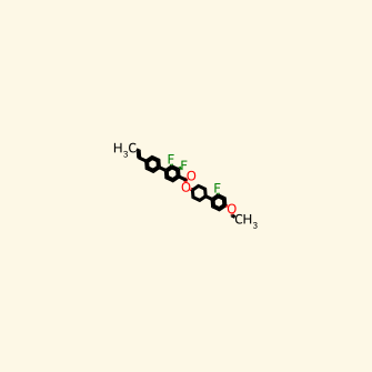 C/C=C/c1ccc(-c2ccc(C(=O)OC3CCC(c4ccc(OCC)cc4F)CC3)c(F)c2F)cc1